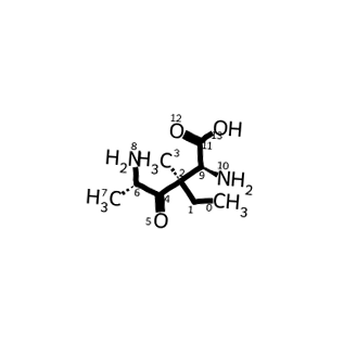 CC[C@@](C)(C(=O)[C@H](C)N)[C@H](N)C(=O)O